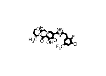 C[C@@H]1CCO[C@H]2Cn3cc(-c4nnc(Cc5cc(C(F)(F)F)cc(Cl)c5F)s4)c(=O)c(O)c3C(=O)N12